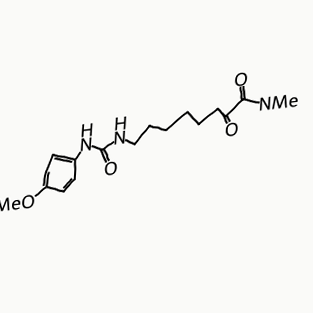 CNC(=O)C(=O)CCCCCCNC(=O)Nc1ccc(OC)cc1